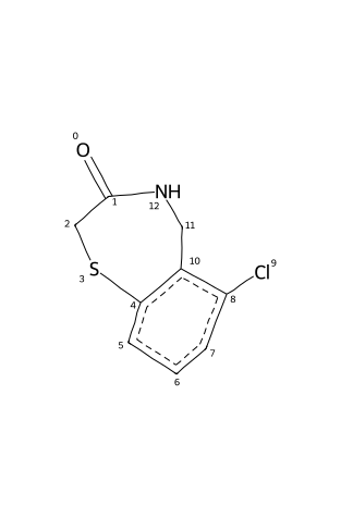 O=C1CSc2cccc(Cl)c2CN1